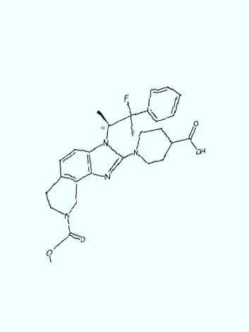 COC(=O)N1CCc2ccc3c(nc(N4CCC(C(=O)O)CC4)n3[C@@H](C)C(F)(F)c3ccccc3)c2C1